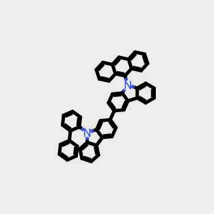 c1ccc(-c2ccccc2-n2c3ccccc3c3ccc(-c4ccc5c(c4)c4ccccc4n5-c4c5ccccc5cc5ccccc45)cc32)cc1